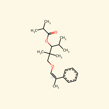 C/C(=C/OCC(C)(C)C(OC(=O)C(C)C)C(C)C)c1ccccc1